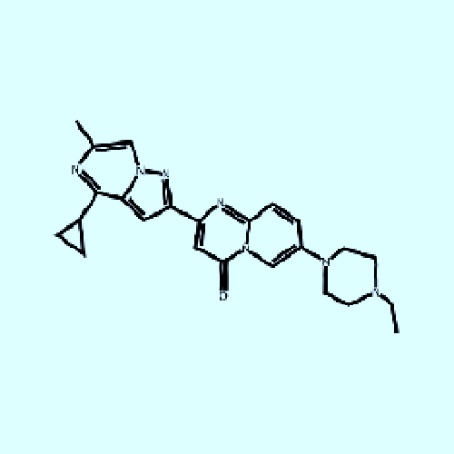 CCN1CCN(c2ccc3nc(-c4cc5c(C6CC6)nc(C)cn5n4)cc(=O)n3c2)CC1